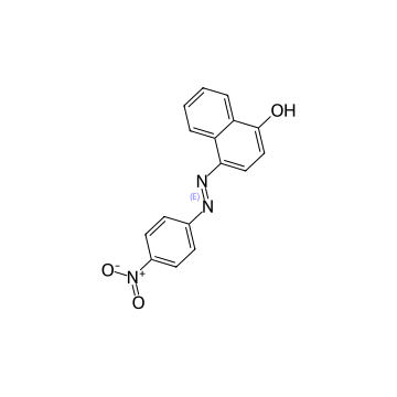 O=[N+]([O-])c1ccc(/N=N/c2ccc(O)c3ccccc23)cc1